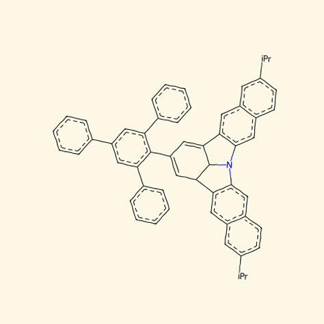 CC(C)c1ccc2cc3c(cc2c1)C1=CC(c2c(-c4ccccc4)cc(-c4ccccc4)cc2-c2ccccc2)=CC2c4cc5cc(C(C)C)ccc5cc4N3C12